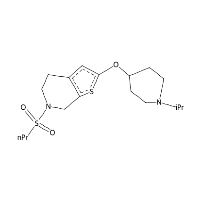 CCCS(=O)(=O)N1CCc2cc(OC3CCN(C(C)C)CC3)sc2C1